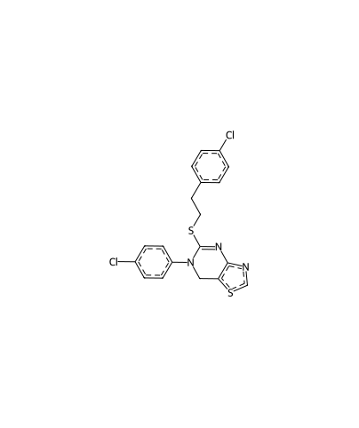 Clc1ccc(CCSC2=Nc3ncsc3CN2c2ccc(Cl)cc2)cc1